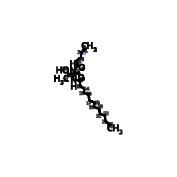 C/C=C/C=C/C(=O)N[C@@](C=O)(NCCCCCCCCCCCCCC)[C@@H](C)O